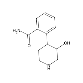 NC(=O)c1ccccc1C1CCNCC1O